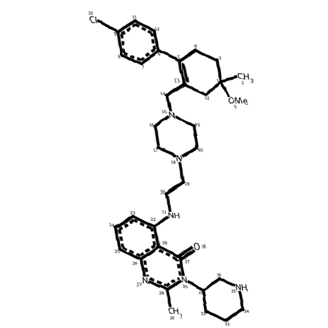 COC1(C)CCC(c2ccc(Cl)cc2)=C(CN2CCN(CCNc3cccc4nc(C)n(C5CCCNC5)c(=O)c34)CC2)C1